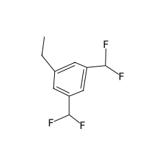 CCc1cc(C(F)F)cc(C(F)F)c1